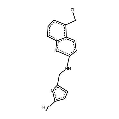 Cc1ccc(CNc2ccc3c(CCl)cccc3n2)o1